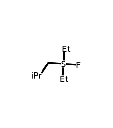 CCS(F)(CC)CC(C)C